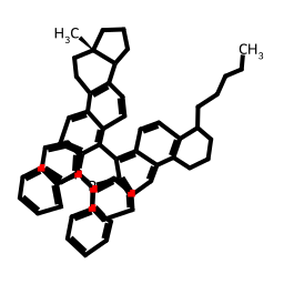 CCCCCC1CCCc2c1ccc1c(-c3c(P(c4ccccc4)c4ccccc4)ccc4c5c(ccc34)C3CCC[C@@]3(C)CC5)c(P(c3ccccc3)c3ccccc3)ccc21